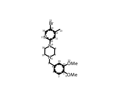 COc1ccc(CN2CCN(c3cc(C)c(Br)cn3)CC2)cc1OC